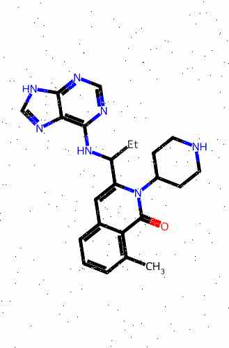 CCC(Nc1ncnc2[nH]cnc12)c1cc2cccc(C)c2c(=O)n1C1CCNCC1